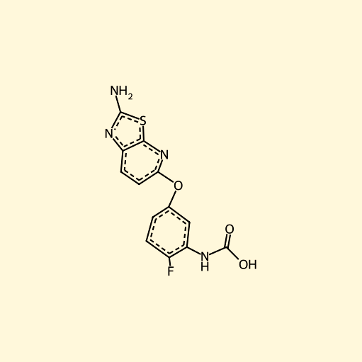 Nc1nc2ccc(Oc3ccc(F)c(NC(=O)O)c3)nc2s1